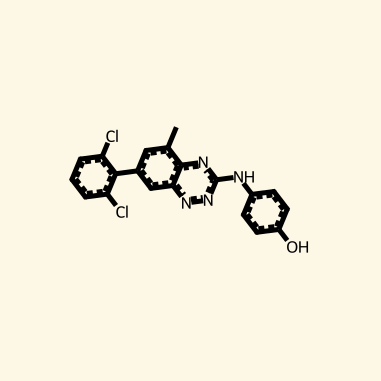 Cc1cc(-c2c(Cl)cccc2Cl)cc2nnc(Nc3ccc(O)cc3)nc12